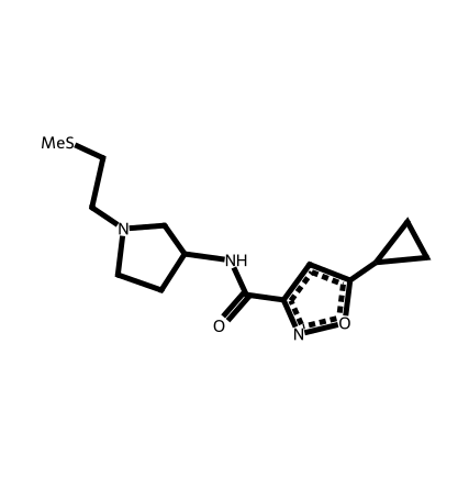 CSCCN1CCC(NC(=O)c2cc(C3CC3)on2)C1